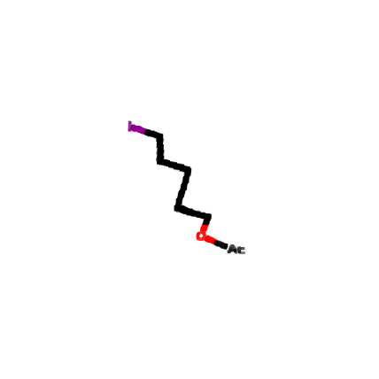 CC(=O)OCCCCCI